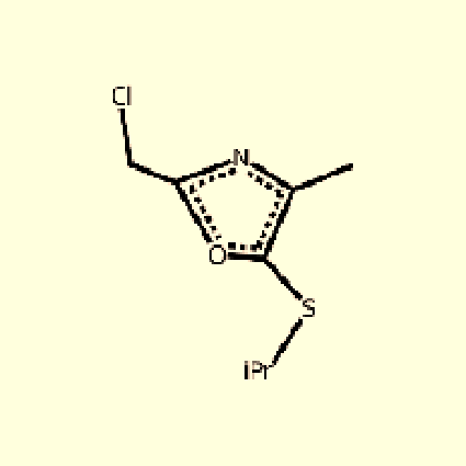 Cc1nc(CCl)oc1SC(C)C